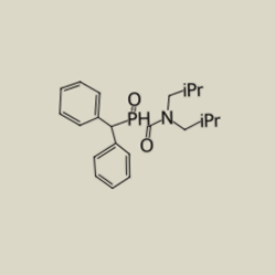 CC(C)CN(CC(C)C)C(=O)[PH](=O)C(c1ccccc1)c1ccccc1